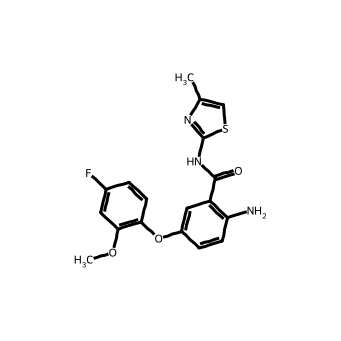 COc1cc(F)ccc1Oc1ccc(N)c(C(=O)Nc2nc(C)cs2)c1